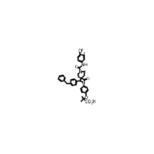 CC(C)(Oc1ccc(N2C(=O)C3(CCN(C(=O)Nc4ccc(C(F)(F)F)cc4)CC3)C2c2ccc(Cc3ccccc3)cc2)cc1)C(=O)O